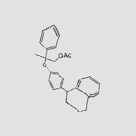 CC(=O)OCC(C)(Oc1ccc(C2CCCc3ccccc32)cc1)c1ccccc1